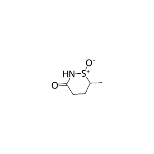 CC1CCC(=O)N[S+]1[O-]